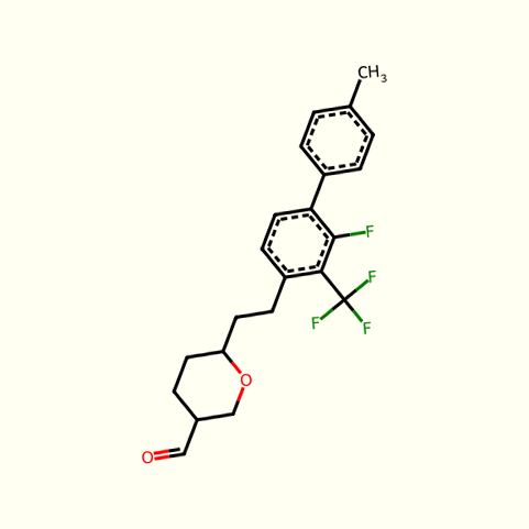 Cc1ccc(-c2ccc(CCC3CCC(C=O)CO3)c(C(F)(F)F)c2F)cc1